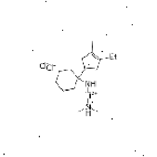 CCC1=C(C)CC(C2([NH][Ti+2][SiH](C)C)CCCCC2)=C1.[Cl-].[Cl-]